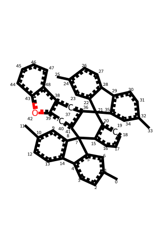 Cc1ccc2c(c1)C1(c3cc(C)ccc3-2)c2ccccc2C2(c3cc(C)ccc3-c3ccc(C)cc32)c2cc3c(cc21)oc1ccccc13